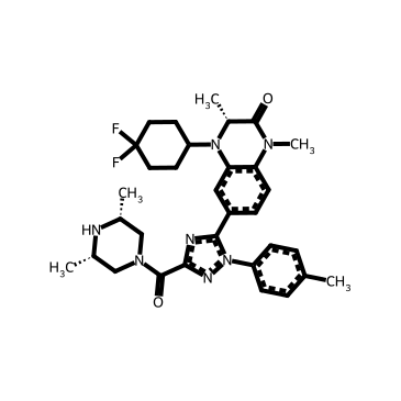 Cc1ccc(-n2nc(C(=O)N3C[C@@H](C)N[C@@H](C)C3)nc2-c2ccc3c(c2)N(C2CCC(F)(F)CC2)[C@H](C)C(=O)N3C)cc1